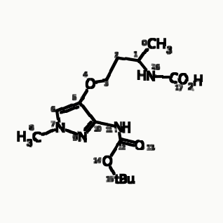 CC(CCOc1cn(C)nc1NC(=O)OC(C)(C)C)NC(=O)O